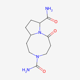 NC(=O)C1CCC2CCN(C(N)=O)CCC(=O)N21